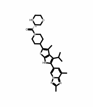 Cc1nc2c(C)cc(-c3[nH]c4sc(C5CCN(C(=O)[C@H]6COCCN6)CC5)c(C)c4c3C(C)C)cn2n1